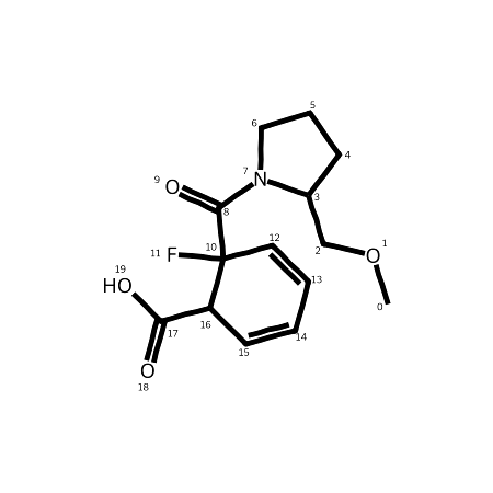 COCC1CCCN1C(=O)C1(F)C=CC=CC1C(=O)O